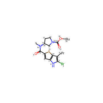 CC(C)c1c(Br)[nH]c2cc(C(=O)N(C)[C@H]3CCN(C(=O)OC(C)(C)C)C3)sc12